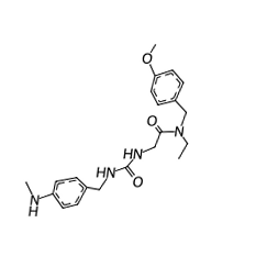 CCN(Cc1ccc(OC)cc1)C(=O)CNC(=O)NCc1ccc(NC)cc1